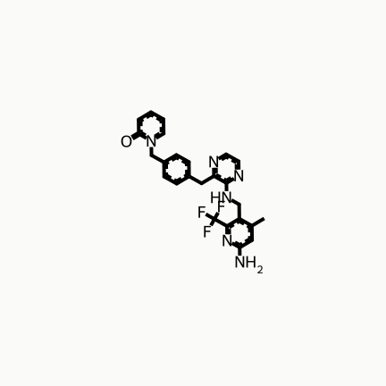 Cc1cc(N)nc(C(F)(F)F)c1CNc1nccnc1Cc1ccc(Cn2ccccc2=O)cc1